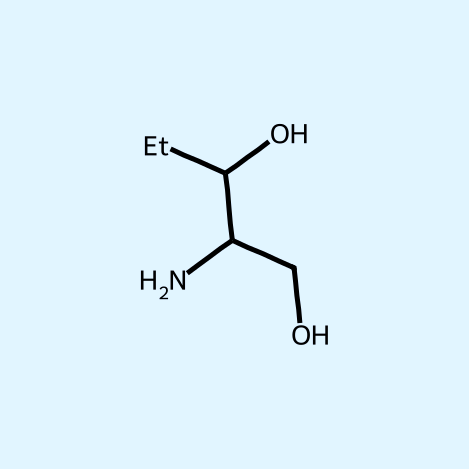 CCC(O)C(N)CO